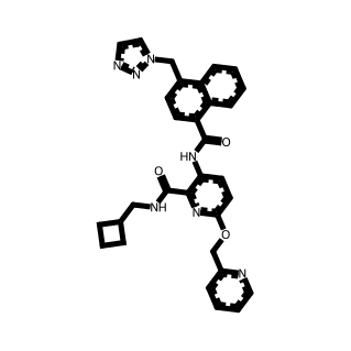 O=C(NCC1CCC1)c1nc(OCc2ccccn2)ccc1NC(=O)c1ccc(Cn2ccnn2)c2ccccc12